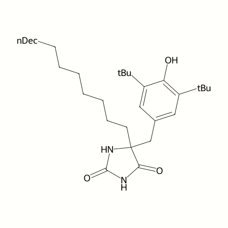 CCCCCCCCCCCCCCCCCC1(Cc2cc(C(C)(C)C)c(O)c(C(C)(C)C)c2)NC(=O)NC1=O